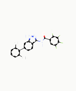 Cc1cccc(C)c1-c1ccc2c(NC(=O)c3cc(F)c(F)c(F)c3F)n[nH]c2c1